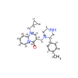 Cc1ccc(C2CNCCN2Cc2c[n+](CC3CC3)c3ccccn3c2=O)cc1